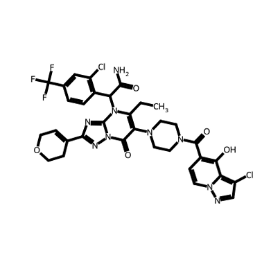 CCc1c(N2CCN(C(=O)c3ccn4ncc(Cl)c4c3O)CC2)c(=O)n2nc(C3=CCOCC3)nc2n1C(C(N)=O)c1ccc(C(F)(F)F)cc1Cl